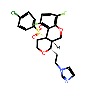 O=S(=O)(c1ccc(Cl)cc1)[C@@]12CCO[C@@H](CCn3ccnc3)[C@@H]1COc1c(F)ccc(F)c12